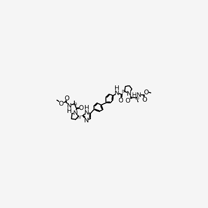 COC(=O)N[C@@H](C)C(=O)N1CCC[C@H]1C(=O)Nc1ccc(-c2ccc(-c3cnc([C@@H]4CCCN4C(=O)[C@H](C)NC(=O)OC)[nH]3)cc2)cc1